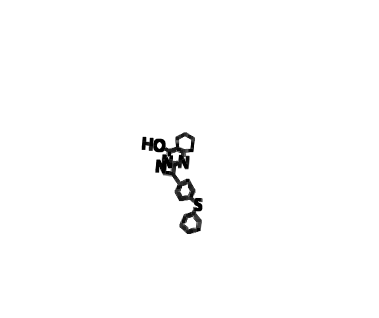 Oc1c2c(nc3c(-c4ccc(Sc5ccccc5)cc4)cnn13)CCCC2